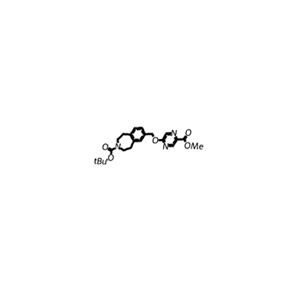 COC(=O)c1cnc(OCc2ccc3c(c2)CCN(C(=O)OC(C)(C)C)CC3)cn1